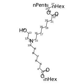 CCCCCCOC(=O)CCCCCCCN(CCO)CCCCCCCC(=O)OC(CCCCC)CCCCCC